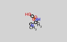 Cc1cccc(-c2ccc(C)c(NS(=O)(=O)c3ccc(O)cc3)c2)n1